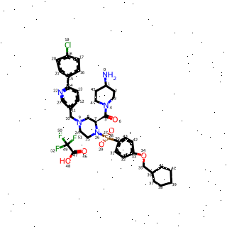 NC1CCN(C(=O)[C@@H]2CN(Cc3ccc(-c4ccc(Cl)cc4)nc3)CCN2S(=O)(=O)c2ccc(OCC3CCCCC3)cc2)CC1.O=C(O)C(F)(F)F